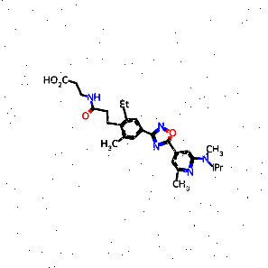 CCc1cc(-c2noc(-c3cc(C)nc(N(C)C(C)C)c3)n2)cc(C)c1CCC(=O)NCCC(=O)O